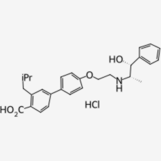 CC(C)Cc1cc(-c2ccc(OCCN[C@@H](C)[C@H](O)c3ccccc3)cc2)ccc1C(=O)O.Cl